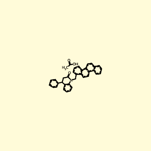 CC(=O)O.O=C1CC(c2ccccc2)c2ccccc2N1Cc1cccc2c1ccc1c3ccccc3ccc21